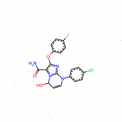 NC(=O)c1c(Oc2ccc(F)cc2)nc2n1C(O)C=CN2c1ccc(Cl)cc1